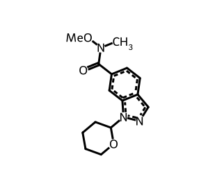 CON(C)C(=O)c1ccc2cnn(C3CCCCO3)c2c1